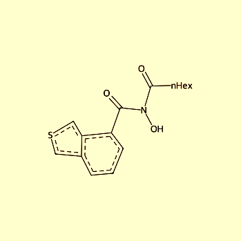 CCCCCCC(=O)N(O)C(=O)c1cccc2cscc12